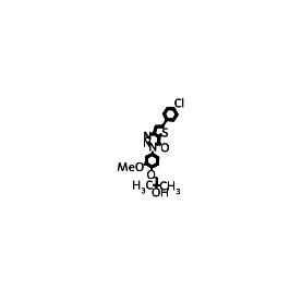 COc1cc(-n2nnc3cc(-c4ccc(Cl)cc4)sc3c2=O)ccc1OCC(C)(C)O